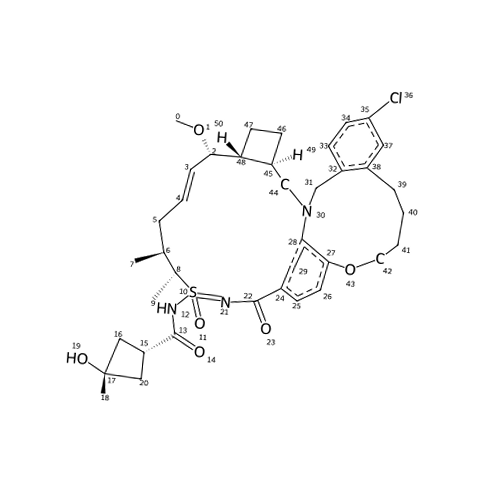 CO[C@H]1/C=C/C[C@H](C)[C@@H](C)S(=O)(NC(=O)[C@H]2C[C@@](C)(O)C2)=NC(=O)c2ccc3c(c2)N(Cc2ccc(Cl)cc2CCCCO3)C[C@@H]2CC[C@H]21